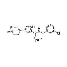 C=C=C(NC(CC#N)c1cccc(Cl)c1)c1cc(C(/C=C\N=C)=C/C(C)C)c[nH]1